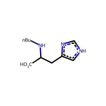 CCCCNC(Cc1c[nH]cn1)C(=O)O